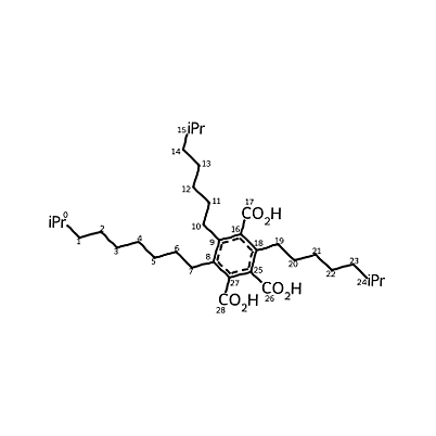 CC(C)CCCCCCCc1c(CCCCCC(C)C)c(C(=O)O)c(CCCCCC(C)C)c(C(=O)O)c1C(=O)O